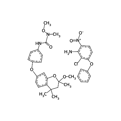 CON(C)C(=O)Nc1ccc(Oc2ccc3c(c2)OC(C)(OC)CC3(C)C)cc1.Nc1c([N+](=O)[O-])ccc(Oc2ccccc2)c1Cl